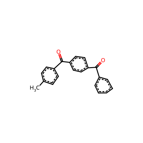 Cc1ccc(C(=O)c2ccc(C(=O)c3ccccc3)cc2)cc1